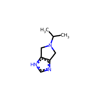 CC(C)N1Cc2nc[nH]c2C1